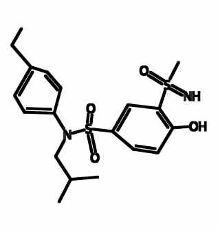 CCc1ccc(N(CC(C)C)S(=O)(=O)c2ccc(O)c(S(C)(=N)=O)c2)cc1